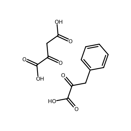 O=C(O)C(=O)Cc1ccccc1.O=C(O)CC(=O)C(=O)O